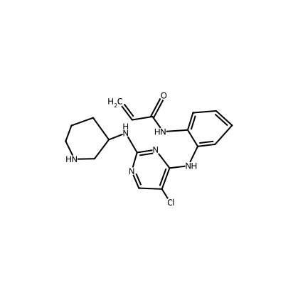 C=CC(=O)Nc1ccccc1Nc1nc(NC2CCCNC2)ncc1Cl